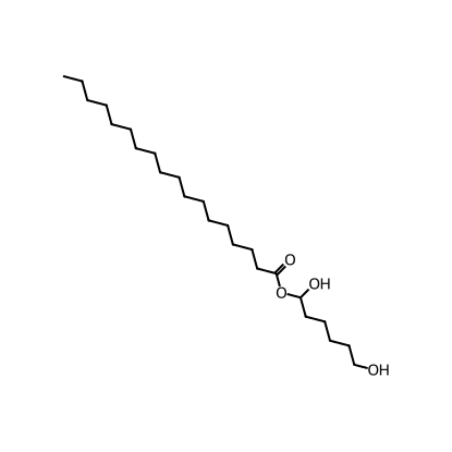 CCCCCCCCCCCCCCCCCC(=O)OC(O)CCCCCO